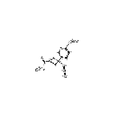 COc1ccc(C2(N=[N+]=[N-])CN(C(=O)OC(C)(C)C)C2)cn1